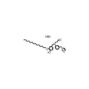 Br.CCCCCCCCCCCCCCOc1cc(CN(CCC=O)c2cccc(CN3C=CSC3)c2)ccc1OC